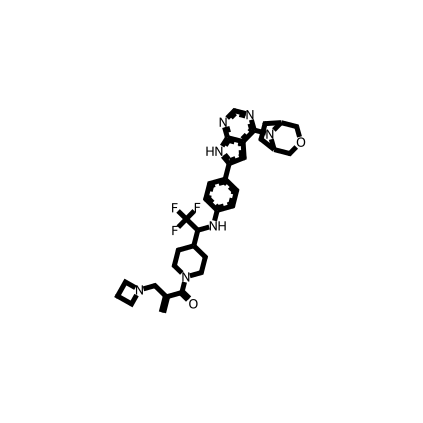 C=C(CN1CCC1)C(=O)N1CCC(C(Nc2ccc(-c3cc4c(N5C6CCC5COC6)ncnc4[nH]3)cc2)C(F)(F)F)CC1